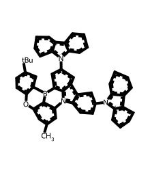 Cc1cc2c3c(c1)-n1c4ccc(-n5c6ccccc6c6ccccc65)cc4c4cc(-n5c6ccccc6c6ccccc65)cc(c41)B3c1cc(C(C)(C)C)ccc1O2